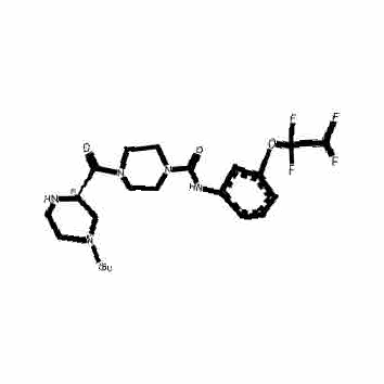 CC(C)(C)N1CCN[C@@H](C(=O)N2CCN(C(=O)Nc3cccc(OC(F)(F)C(F)F)c3)CC2)C1